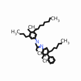 CCCCCCCCc1cc(N=CC(CC)=Nc2cc(CC)c(-c3ccccc3)c(CCCCCC)c2)cc(CCCC)c1CC